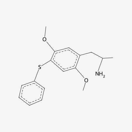 COc1cc(Sc2ccccc2)c(OC)cc1CC(C)N